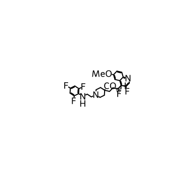 COc1ccc2ncc(F)c([C@@H](F)CCC3(C(=O)O)CCN(CCNc4c(F)cc(F)cc4F)CC3)c2c1